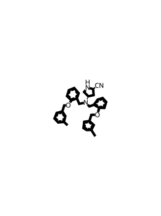 Cc1cccc(COc2ccccc2CN(Cc2ccccc2OCc2cccc(C)c2)[C@@H]2CN[C@@H](C#N)C2)c1